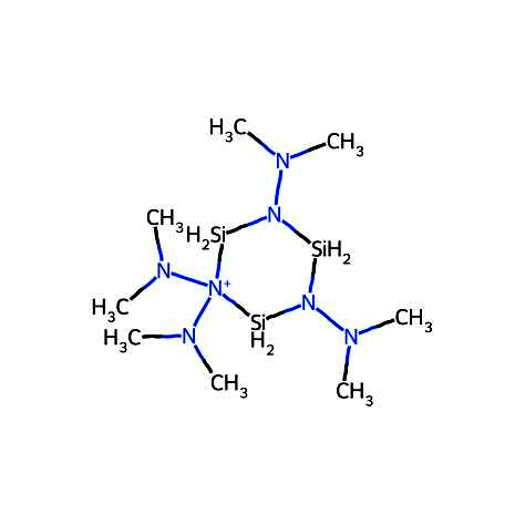 CN(C)N1[SiH2]N(N(C)C)[SiH2][N+](N(C)C)(N(C)C)[SiH2]1